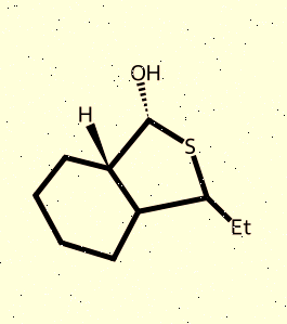 CCC1S[C@@H](O)[C@H]2CCCCC12